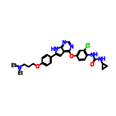 CCN(CC)CCCOc1ccc(-c2cc3c(Oc4ccc(NC(=O)NC5CC5)c(Cl)c4)ncnc3[nH]2)cc1